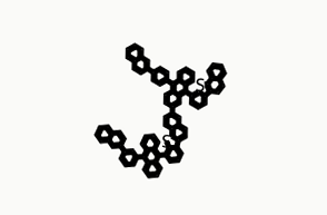 c1cc(-c2ccc3ccccc3c2)cc(-c2c3ccccc3c(-c3cccc4c3sc3c5ccc(-c6ccc7c(-c8ccc(-c9ccc%10ccccc%10c9)cc8)c8ccccc8c(-c8cccc9c8sc8c%10ccccc%10ccc98)c7c6)cc5ccc43)c3ccccc23)c1